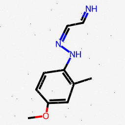 COc1ccc(N/N=C\C=N)c(C)c1